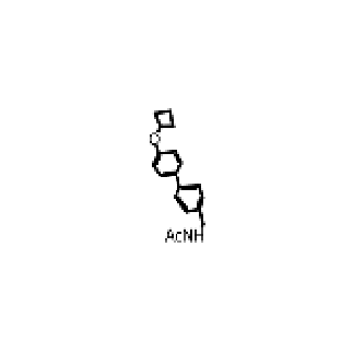 CC(=O)NCc1ccc(-c2ccc(OC3CCC3)cc2)cc1